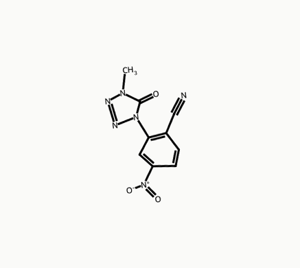 Cn1nnn(-c2cc([N+](=O)[O-])ccc2C#N)c1=O